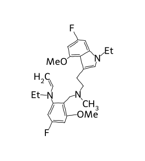 C=CN(CC)c1cc(F)cc(OC)c1CN(C)CCc1cn(CC)c2cc(F)cc(OC)c12